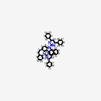 C1=Cc2ccc3c(c2N(c2nc(-c4ccccc4)cc(-c4ccccc4)n2)c2ccccc21)c1ccccc1n3-c1nc(-c2ccccc2)cc(-c2ccccc2)n1